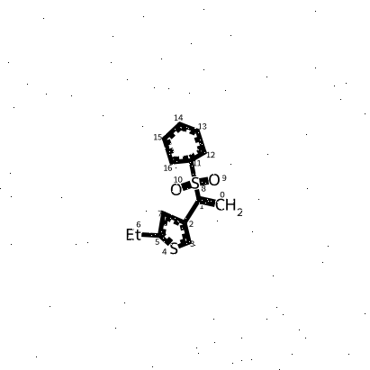 C=C(c1csc(CC)c1)S(=O)(=O)c1ccccc1